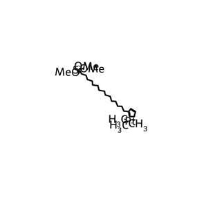 CO[Si](CCCCCCCCCCCCCCCC1=[C]([Pt]([CH3])([CH3])[CH3])CC=C1)(OC)OC